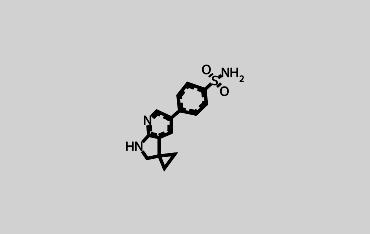 NS(=O)(=O)c1ccc(-c2cnc3c(c2)C2(CC2)CN3)cc1